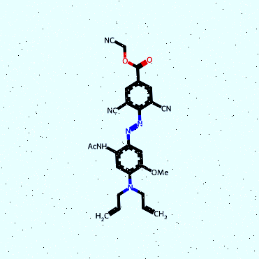 C=CCN(CC=C)c1cc(NC(C)=O)c(N=Nc2c(C#N)cc(C(=O)OCC#N)cc2C#N)cc1OC